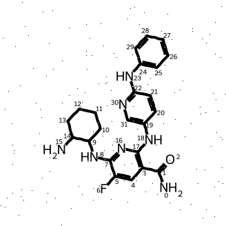 NC(=O)c1cc(F)c(NC2CCCCC2N)nc1Nc1ccc(Nc2ccccc2)nc1